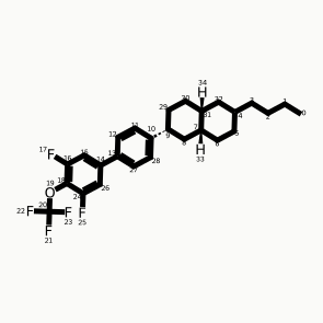 CCCCC1CC[C@@H]2C[C@H](c3ccc(-c4cc(F)c(OC(F)(F)F)c(F)c4)cc3)CC[C@@H]2C1